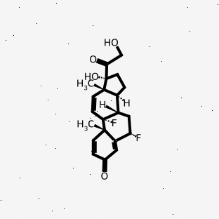 C[C@]12C=CC(=O)C=C1[C@@H](F)C[C@H]1[C@@H]3CC[C@](O)(C(=O)CO)[C@@]3(C)C=C[C@@]12F